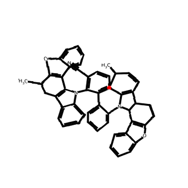 CC1C=CC2=C(C1)N(c1ccccc1-c1cccc(C#N)c1-n1c3c(c4ccccc41)CC(C)c1oc4ccccc4c1-3)C1c3c(oc4ccccc34)CCC21